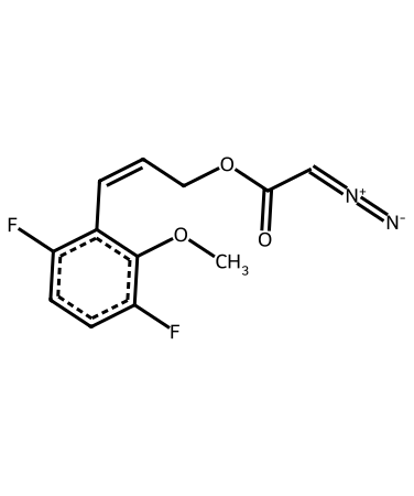 COc1c(F)ccc(F)c1/C=C\COC(=O)C=[N+]=[N-]